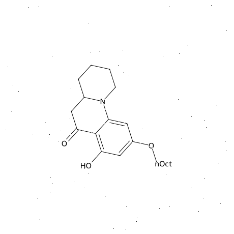 CCCCCCCCOc1cc(O)c2c(c1)N1CCCCC1CC2=O